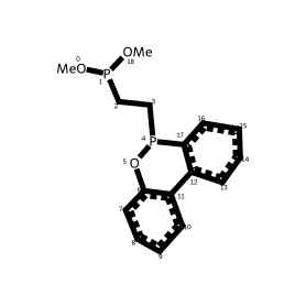 COP(CCP1Oc2ccccc2-c2ccccc21)OC